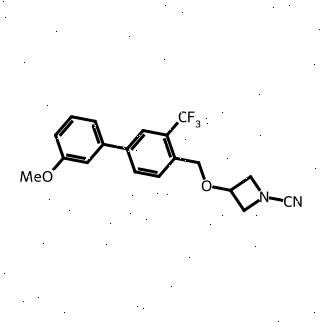 COc1cccc(-c2ccc(COC3CN(C#N)C3)c(C(F)(F)F)c2)c1